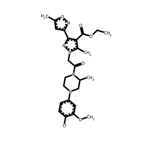 CCOC(=O)c1c(-c2cc(C)on2)nn(CC(=O)N2CCN(c3ccc(Cl)c(OC)c3)CC2C)c1C